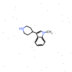 Cn1cc(C2CCNCC2)c2ccccc21